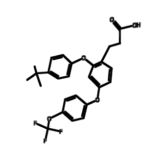 CC(C)(C)c1ccc(Oc2cc(Oc3ccc(OC(F)(F)F)cc3)ccc2CCC(=O)O)cc1